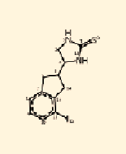 S=C1NCC(C2Cc3cccc(I)c3C2)N1